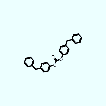 O=C(Oc1ccc(Cc2ccccc2)cc1)Oc1ccc(Cc2ccccc2)cc1